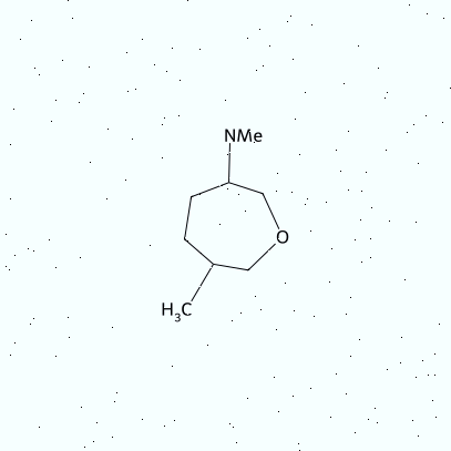 CNC1CCC(C)COC1